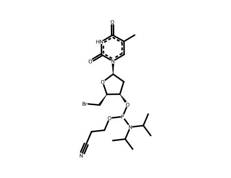 Cc1cn([C@H]2C[C@@H](OP(OCCC#N)N(C(C)C)C(C)C)[C@@H](CBr)O2)c(=O)[nH]c1=O